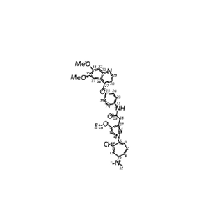 CCOc1cn(C2=CC=CC(N(C)C)C=C2Cl)nc1CC(=O)Nc1ccc(Oc2ccnc3cc(OC)c(OC)cc23)cn1